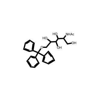 CC(=O)NC(CO)C(O)C(O)C(O)COC(c1ccccc1)(c1ccccc1)c1ccccc1